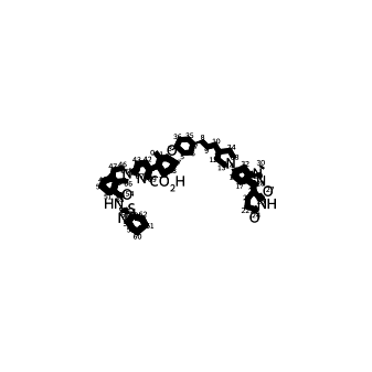 Cc1c(O[C@H]2CC[C@H](CCCC3CCN(c4ccc5c(C6CCC(=O)NC6=O)nn(C)c5c4)CC3)CC2)cccc1-c1ccc(N2CCc3cccc(C(=O)Nc4nc5ccccc5s4)c3C2)nc1C(=O)O